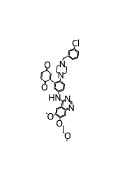 COCCOc1cc2ncnc(Nc3ccc(N4CCN(Cc5cccc(Cl)c5)CC4)c(C4=CC(=O)C=CC4=O)c3)c2cc1OC